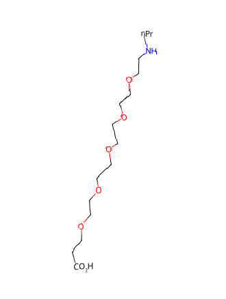 CCCNCCOCCOCCOCCOCCOCCC(=O)O